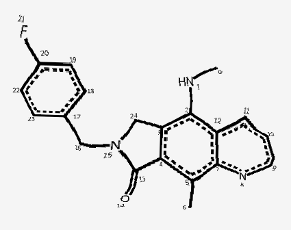 CNc1c2c(c(C)c3ncccc13)C(=O)N(Cc1ccc(F)cc1)C2